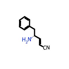 N#CC=C[C@H](N)Cc1ccccc1